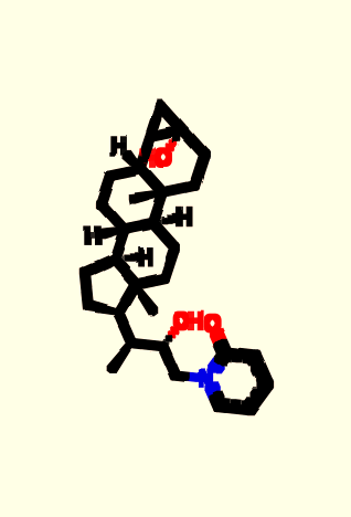 C[C@H]([C@H](O)Cn1ccccc1=O)[C@H]1CC[C@H]2[C@@H]3CC[C@@H]4C5C[C@@]5(O)CC[C@]4(C)[C@H]3CC[C@]12C